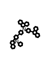 c1ccc(-n2c3cc(-c4ccc(N(c5ccc(-c6cc7ccccc7c7ccccc67)cc5)c5cc6ccccc6c6ccccc56)cc4)ccc3c3ccc4ccccc4c32)cc1